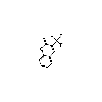 C=C1Oc2ccccc2C=C1C(F)(F)F